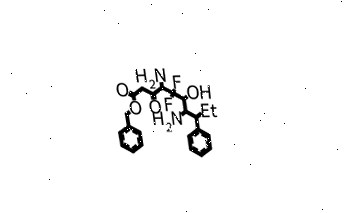 CCC(c1ccccc1)C(N)C(O)C(F)(F)C(N)C(=O)CC(=O)OCc1ccccc1